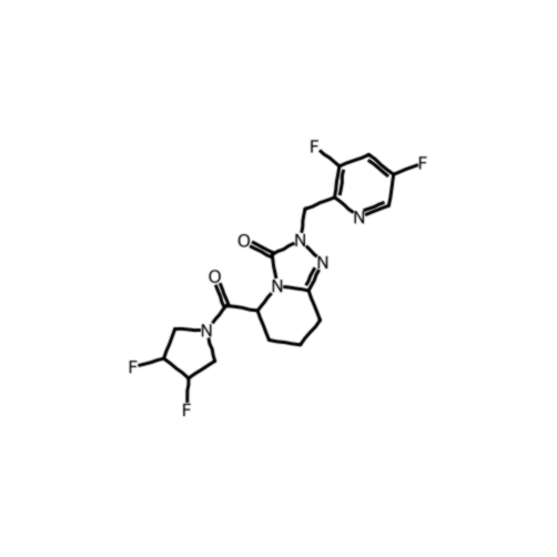 O=C(C1CCCc2nn(Cc3ncc(F)cc3F)c(=O)n21)N1CC(F)C(F)C1